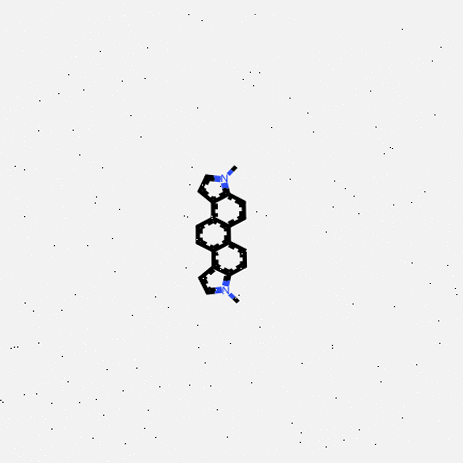 Cn1ccc2c3ccc4c(ccc5c4ccn5C)c3ccc21